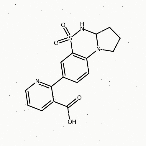 O=C(O)c1cccnc1-c1ccc2c(c1)S(=O)(=O)NC1CCCN21